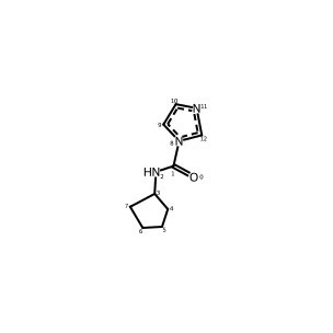 O=C(NC1CCCC1)n1ccnc1